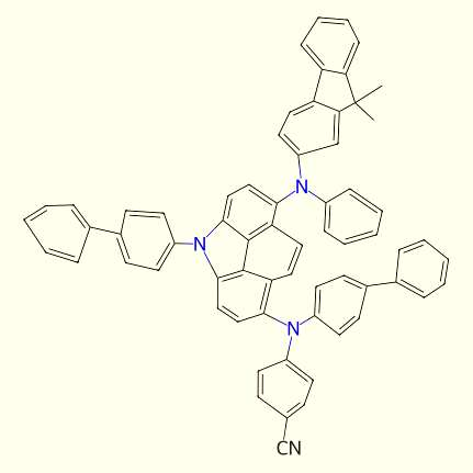 CC1(C)c2ccccc2-c2ccc(N(c3ccccc3)c3ccc4c5c3ccc3c(N(c6ccc(C#N)cc6)c6ccc(-c7ccccc7)cc6)ccc(c35)n4-c3ccc(-c4ccccc4)cc3)cc21